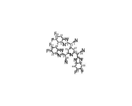 N#CC(=C1N=c2cc(F)c(F)cc2=N1)c1cc(C(C#N)=C2N=c3cc(F)c(F)cc3=N2)nc(C(C#N)=C2N=c3cc(F)c(F)cc3=N2)c1